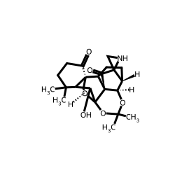 CC1(C)O[C@@H]2[C@H]3CCC4[C@@]56COC(O1)([C@@H](O)C5C(C)(C)CCC6=O)[C@]42C(=O)C31CN1